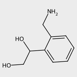 NCc1ccccc1C(O)CO